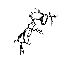 N#Cc1c(F)cc(S[C@H]2CN([S+]([O-])c3ccc(C(F)(F)F)cc3Cl)CC2(O)CO)cc1F